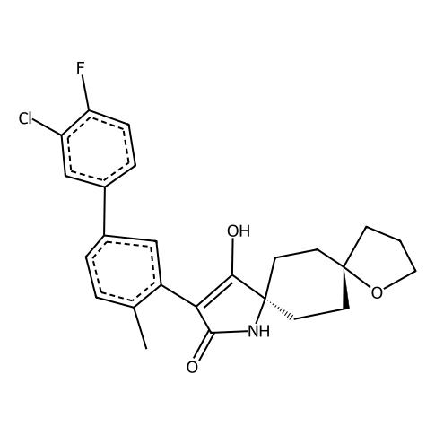 Cc1ccc(-c2ccc(F)c(Cl)c2)cc1C1=C(O)[C@]2(CC[C@]3(CCCO3)CC2)NC1=O